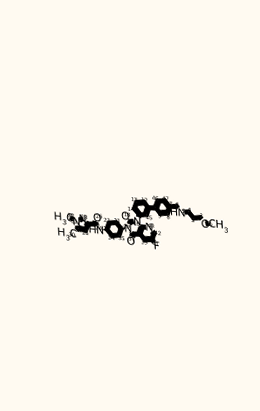 COCCCNCc1ccc(-c2cccc(-n3c(=O)n([C@H]4CC[C@@H](NC(=O)c5cc(C)n(C)n5)CC4)c(=O)c4cc(F)cnc43)c2)cc1